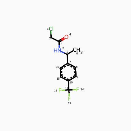 CC(NC(=O)CCl)c1ccc(C(F)(F)F)cc1